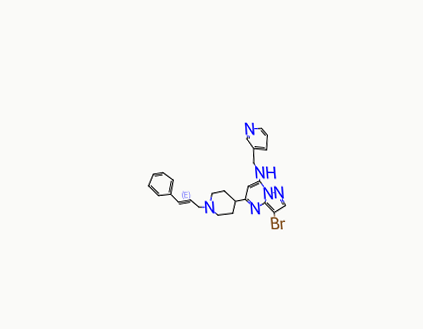 Brc1cnn2c(NCc3cccnc3)cc(C3CCN(C/C=C/c4ccccc4)CC3)nc12